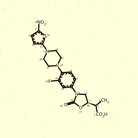 CC(C(=O)O)[C@@H]1CN(c2ccc(N3CCN(c4ccc([N+](=O)[O-])s4)CC3)c(F)c2)C(=O)O1